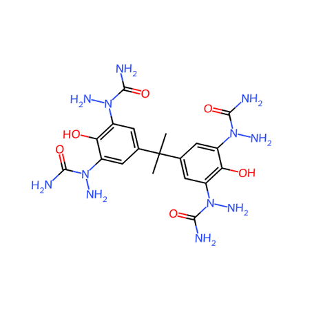 CC(C)(c1cc(N(N)C(N)=O)c(O)c(N(N)C(N)=O)c1)c1cc(N(N)C(N)=O)c(O)c(N(N)C(N)=O)c1